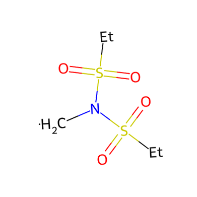 [CH2]N(S(=O)(=O)CC)S(=O)(=O)CC